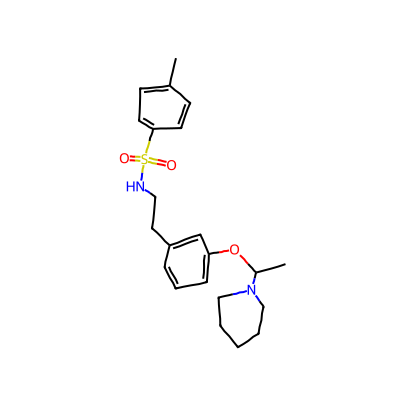 Cc1ccc(S(=O)(=O)NCCc2cccc(OC(C)N3CCCCC3)c2)cc1